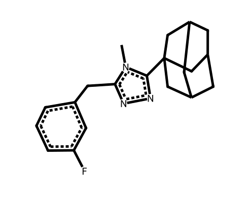 Cn1c(Cc2cccc(F)c2)nnc1C12CC3CC(CC(C3)C1)C2